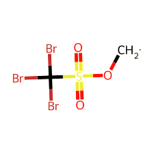 [CH2]OS(=O)(=O)C(Br)(Br)Br